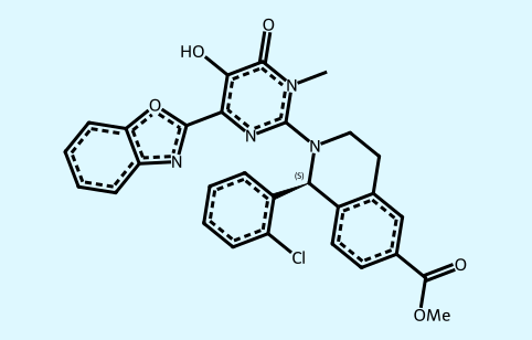 COC(=O)c1ccc2c(c1)CCN(c1nc(-c3nc4ccccc4o3)c(O)c(=O)n1C)[C@@H]2c1ccccc1Cl